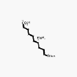 CCCCCCC=CCCCCCCCC(=O)O.[MgH2]